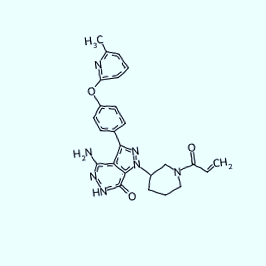 C=CC(=O)N1CCCC(n2nc(-c3ccc(Oc4cccc(C)n4)cc3)c3c(N)n[nH]c(=O)c32)C1